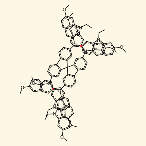 CCn1c2cc(OC)ccc2c2ccc(N(c3ccc(OC)cc3)c3ccc4c(c3)C3(c5cc(N(c6ccc(OC)cc6)c6ccc7c8ccc(OC)cc8n(CC)c7c6)ccc5-4)c4cc(N(c5ccc(OC)cc5)c5ccc6c7ccc(OC)cc7n(CC)c6c5)ccc4-c4ccc(N(c5ccc(OC)cc5)c5ccc6c7ccc(OC)cc7n(CC)c6c5)cc43)cc21